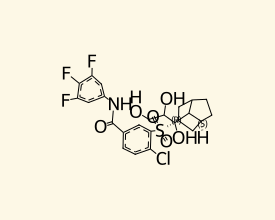 O=C(Nc1cc(F)c(F)c(F)c1)c1ccc(Cl)c(S(=O)(=O)[C@@H]2CC3CC[C@@H](C2)C3C(O)C(O)CO)c1